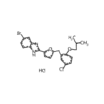 CC(C)COc1ccc(Cl)cc1Cc1ccc(-c2nc3cc(Br)ccc3[nH]2)o1.Cl